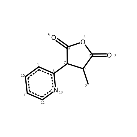 CC1C(=O)OC(=O)C1c1ccccn1